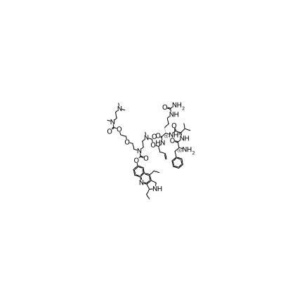 C=CCC(NC(=O)[C@H](CCCNC(N)=O)NC(=O)[C@H](NC(=O)[C@@H](N)Cc1ccccc1)C(C)C)OC(=O)N(C)CCN(CCOCCOC(=O)N(C)CCN(C)C)C(=O)Oc1ccc2nc3c(c(CC)c2c1)CNC3CC